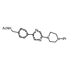 CC(=O)NCc1ccc(-c2cnc(N3CCN(C(C)C)CC3)cn2)cc1